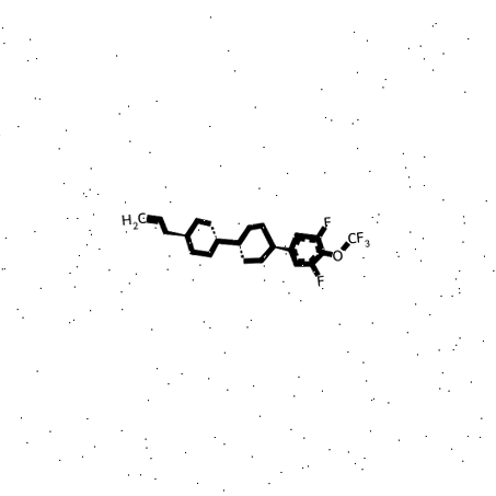 C=CC[C@H]1CC[C@H]([C@H]2CC[C@H](c3cc(F)c(OC(F)(F)F)c(F)c3)CC2)CC1